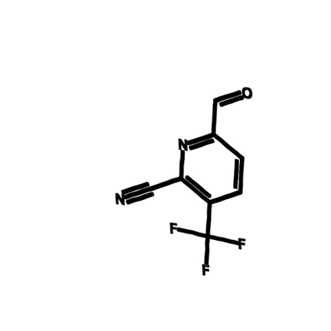 N#Cc1nc(C=O)ccc1C(F)(F)F